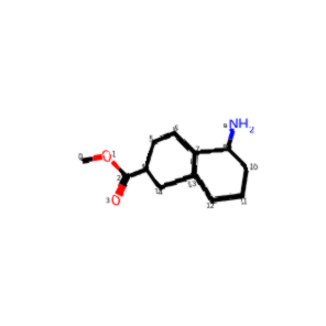 COC(=O)C1CCC2C(N)CCCC2C1